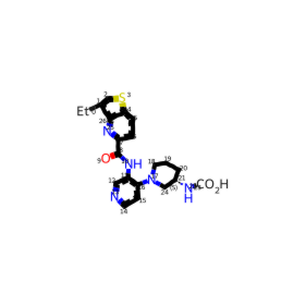 CCc1csc2ccc(C(=O)Nc3cnccc3N3CCC[C@H](NC(=O)O)C3)nc12